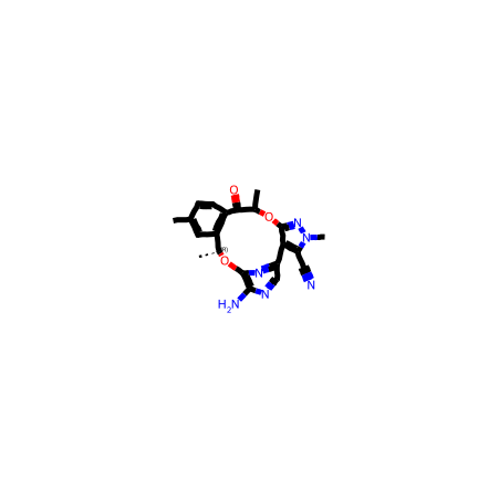 Cc1ccc2c(c1)[C@@H](C)Oc1nc(cnc1N)-c1c(nn(C)c1C#N)OC(C)C2=O